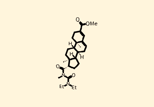 CCN(CC)C(=O)N(C)C(=O)[C@H]1CC[C@H]2[C@@H]3CC=C4C=C(C(=O)OC)CC[C@]4(C)[C@H]3CC[C@]12C